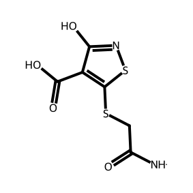 [NH]C(=O)CSc1snc(O)c1C(=O)O